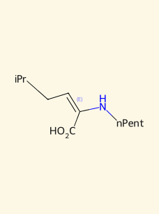 CCCCCN/C(=C/CC(C)C)C(=O)O